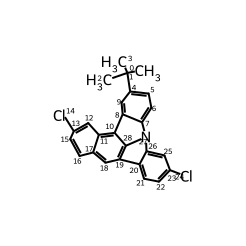 CC(C)(C)c1ccc2c(c1)c1c3cc(Cl)ccc3cc3c4ccc(Cl)cc4n2c31